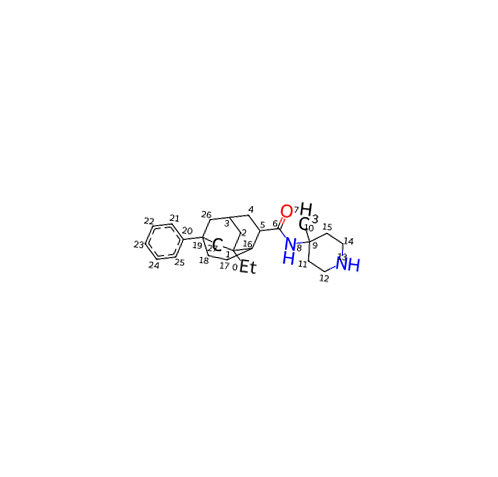 CCC12CC3CC(C(=O)NC4(C)CCNCC4)C1CCC(c1ccccc1)(C3)C2